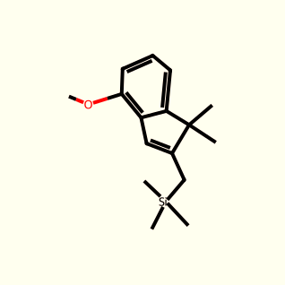 COc1cccc2c1C=C(C[Si](C)(C)C)C2(C)C